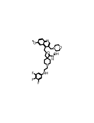 COc1ccc2ncc(CN3CCOCC3)c(CCCC3(C(=O)NO)CCN(CCNc4cc(F)c(F)c(F)c4)CC3)c2c1